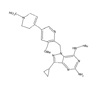 CCCCNc1nc(N)nc2c(C3CC3)nn(Cc3ncc(C4=CCN(C(=O)O)CC4)cc3OC)c12